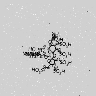 N.N.N.N.N.N.N.N.O=S(=O)(O)OC[C@H]1O[C@@](COS(=O)(=O)O)(O[C@H]2O[C@H](COS(=O)(=O)O)[C@@H](OS(=O)(=O)O)[C@H](OS(=O)(=O)O)[C@H]2OS(=O)(=O)O)[C@@H](OS(=O)(=O)O)[C@@H]1OS(=O)(=O)O